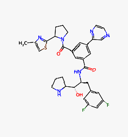 Cc1csc(C2CCCN2C(=O)c2cc(C(=O)N[C@@H](Cc3cc(F)cc(F)c3)[C@H](O)C3CCCN3)cc(-c3cnccn3)c2)n1